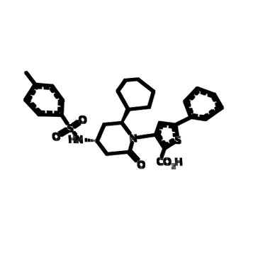 Cc1ccc(S(=O)(=O)N[C@H]2CC(=O)N(c3cc(-c4ccccc4)sc3C(=O)O)[C@H](C3CCCCC3)C2)cc1